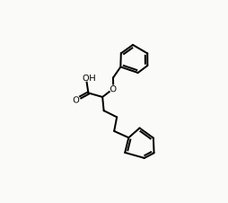 O=C(O)C(CCCc1ccccc1)OCc1ccccc1